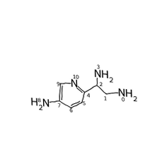 NCC(N)c1ccc(N)cn1